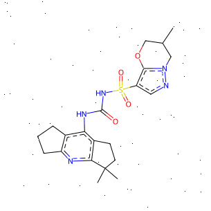 CC1COc2c(S(=O)(=O)NC(=O)Nc3c4c(nc5c3CCC5(C)C)CCC4)cnn2C1